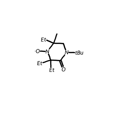 CCC1(C)CN(C(C)(C)C)C(=O)C(CC)(CC)N1[O]